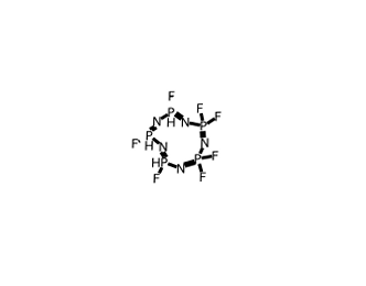 F\[PH]1=N/[PH](F)=N\[PH](F)=N\P(F)(F)=NP(F)(F)=N1